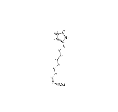 CCCCCCCC/C=C\CCCCCCCc1nn[nH]n1